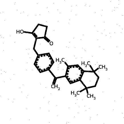 C=C(c1ccc(CC2=C(O)CCC2=O)cc1)c1cc2c(cc1C)C(C)(C)CCC2(C)C